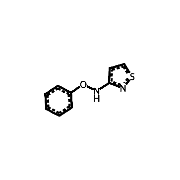 c1ccc(ONc2ccsn2)cc1